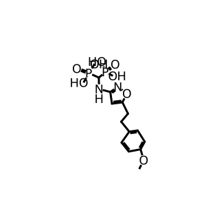 COc1ccc(CCc2cc(NC(P(=O)(O)O)P(=O)(O)O)no2)cc1